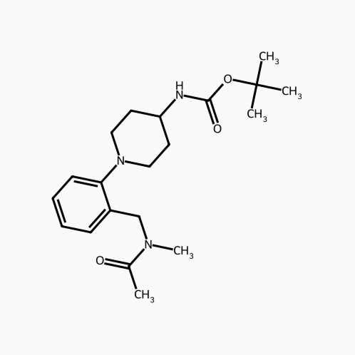 CC(=O)N(C)Cc1ccccc1N1CCC(NC(=O)OC(C)(C)C)CC1